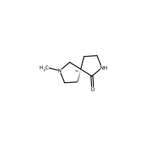 CN1CC[C@@]2(CCNC2=O)C1